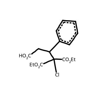 CCOC(=O)C(Cl)(C(=O)OCC)C(CC(=O)O)c1ccccc1